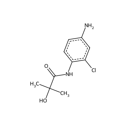 CC(C)(O)C(=O)Nc1ccc(N)cc1Cl